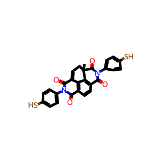 CC12CC=C3C(=O)N(c4ccc(S)cc4)C(=O)c4ccc(c1c43)C(=O)N(c1ccc(S)cc1)C2=O